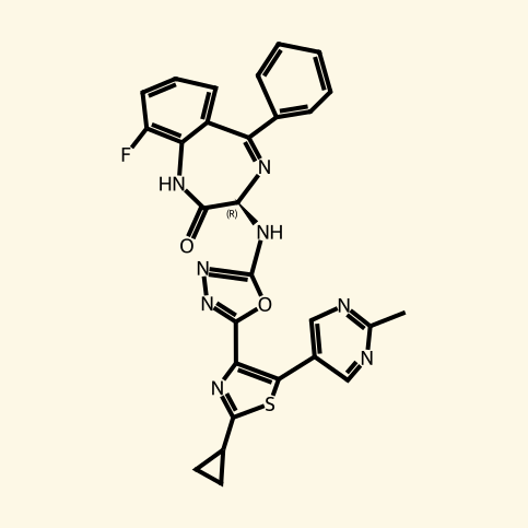 Cc1ncc(-c2sc(C3CC3)nc2-c2nnc(N[C@@H]3N=C(c4ccccc4)c4cccc(F)c4NC3=O)o2)cn1